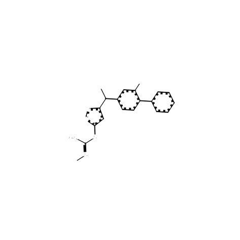 C/N=C(\NC)Nc1cc(C(C)c2ccc(-c3ccccc3)c(F)c2)no1